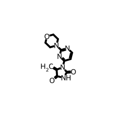 C=C1C(=O)NC(=O)N1c1ccnc(N2CCOCC2)n1